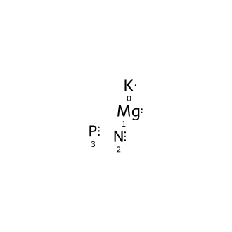 [K].[Mg].[N].[P]